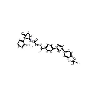 Cc1ccccc1N1C(=O)CN/C1=N\C(=O)NCC(F)c1ccc(-c2ncn(-c3ccc(OC(F)(F)F)cc3)n2)cc1